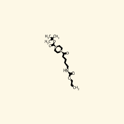 C=CCOC(=O)NCCCCC(=O)N1CCN(C(=O)OC(C)(C)C)CC1